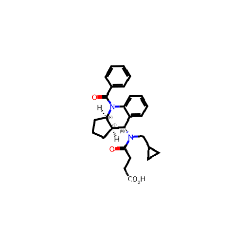 O=C(O)CCC(=O)N(CC1CC1)[C@H]1c2ccccc2N(C(=O)c2ccccc2)[C@@H]2CCC[C@@H]21